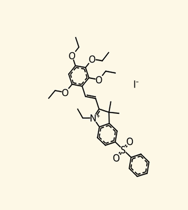 CCOc1cc(OCC)c(OCC)c(OCC)c1C=CC1=[N+](CC)c2ccc(S(=O)(=O)c3ccccc3)cc2C1(C)C.[I-]